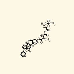 C[C@H](NC(=O)CNC(=O)OC(C)(C)C)C(=O)O[C@H]1CC[C@@]2(C)C(=CC[C@@H]3[C@@H]2CC[C@]2(C)C(c4cccnc4)=CC[C@@H]32)C1